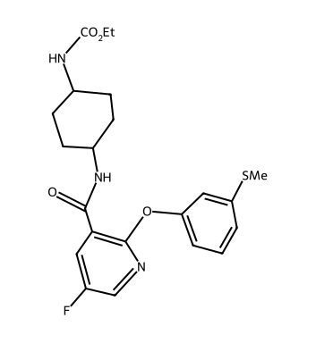 CCOC(=O)NC1CCC(NC(=O)c2cc(F)cnc2Oc2cccc(SC)c2)CC1